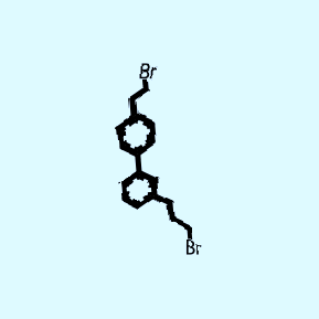 BrCCCc1cc[c]c(-c2ccc(CCBr)cc2)c1